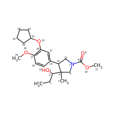 CCC(O)C1(C)CN(C(=O)OC)CC1c1ccc(OC)c(OC2CCCC2)c1